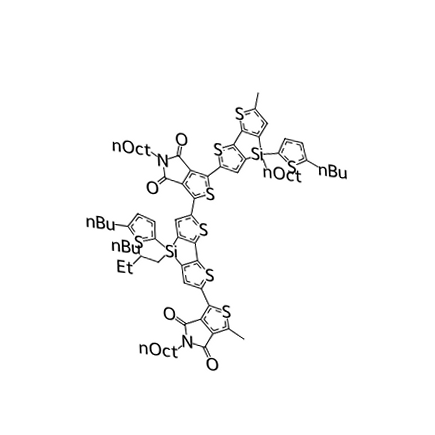 CCCCCCCCN1C(=O)c2c(C)sc(-c3cc4c(s3)-c3sc(-c5sc(-c6cc7c(s6)-c6sc(C)cc6[Si]7(CCCCCCCC)c6ccc(CCCC)s6)c6c5C(=O)N(CCCCCCCC)C6=O)cc3[Si]4(CC(CC)CCCC)c3ccc(CCCC)s3)c2C1=O